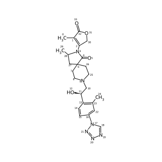 CC1=C(N2C(=O)C3(CCN(C[C@H](O)c4ccc(-n5cnnn5)cc4C)CC3)CC2C)COC1=O